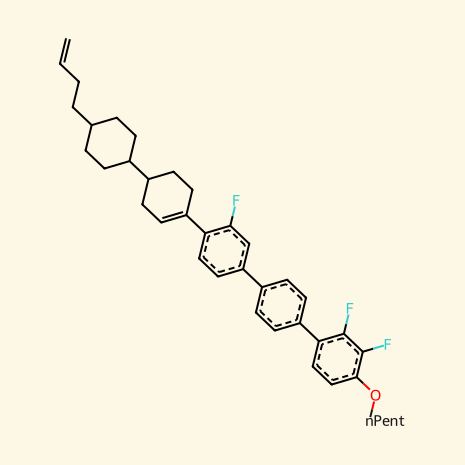 C=CCCC1CCC(C2CC=C(c3ccc(-c4ccc(-c5ccc(OCCCCC)c(F)c5F)cc4)cc3F)CC2)CC1